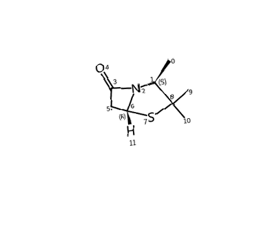 C[C@@H]1N2C(=O)[CH][C@H]2SC1(C)C